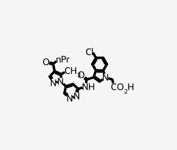 CCCC(=O)c1cnn(-c2cnnc(NC(=O)c3cn(CC(=O)O)c4ccc(Cl)cc34)c2)c1C